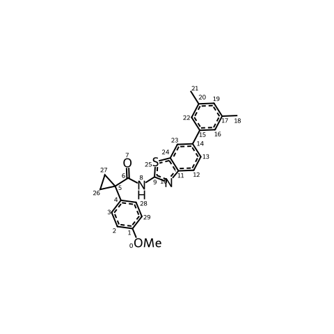 COc1ccc(C2(C(=O)Nc3nc4ccc(-c5cc(C)cc(C)c5)cc4s3)CC2)cc1